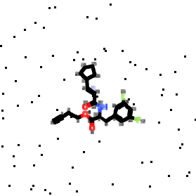 C#CCCOC(=O)[C@H](Cc1cc(F)cc(F)c1)NC(=O)/C=C/C1CCCC1